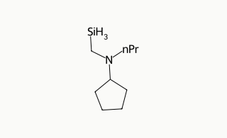 CCCN(C[SiH3])C1CCCC1